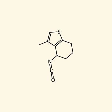 Cc1csc2c1C(N=C=O)CCC2